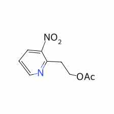 CC(=O)OCCc1ncccc1[N+](=O)[O-]